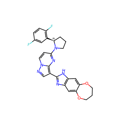 Fc1ccc(F)c([C@H]2CCCN2c2ccn3ncc(-c4nc5cc6c(cc5[nH]4)OCCCO6)c3n2)c1